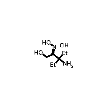 CCC(N)(CC)C(CO)=NO.Cl